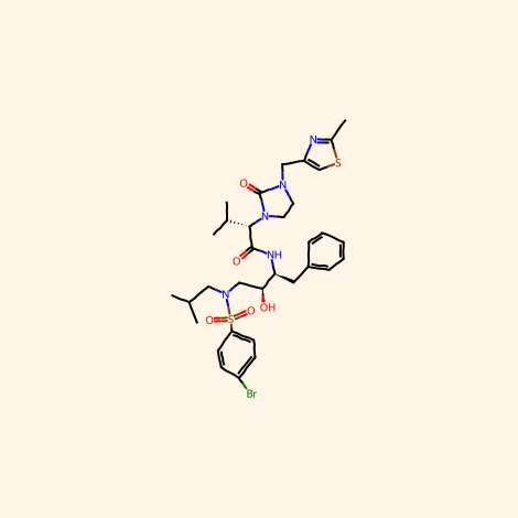 Cc1nc(CN2CCN([C@H](C(=O)N[C@@H](Cc3ccccc3)[C@@H](O)CN(CC(C)C)S(=O)(=O)c3ccc(Br)cc3)C(C)C)C2=O)cs1